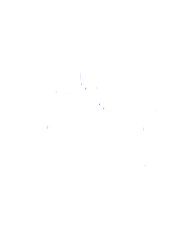 O=c1[nH]c(=O)n([C@@H]2CC(O)[C@H](CBr)O2)cc1/C=C/Br